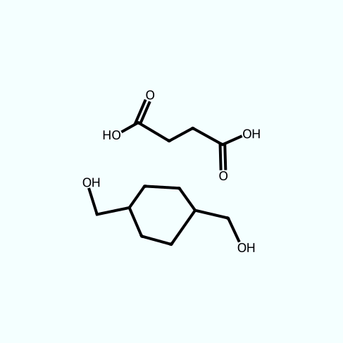 O=C(O)CCC(=O)O.OCC1CCC(CO)CC1